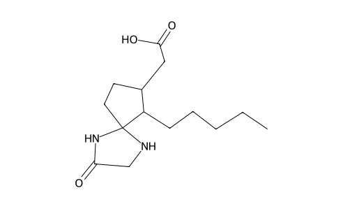 CCCCCC1C(CC(=O)O)CCC12NCC(=O)N2